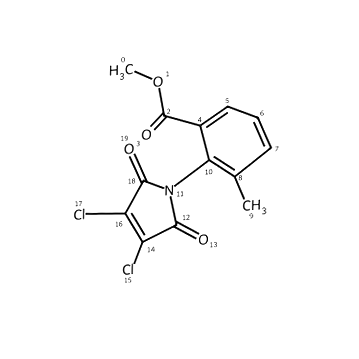 COC(=O)c1cccc(C)c1N1C(=O)C(Cl)=C(Cl)C1=O